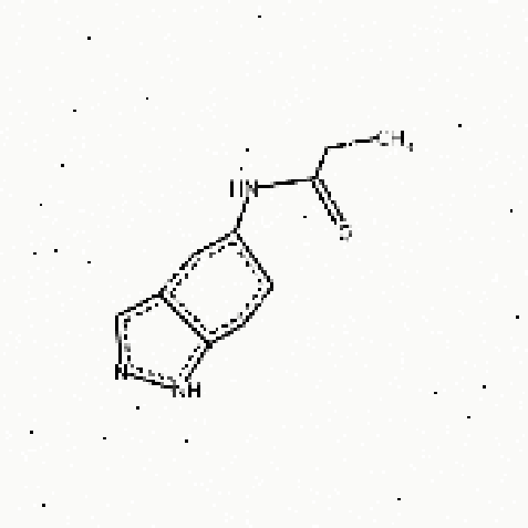 CCC(=O)Nc1ccc2[nH]ncc2c1